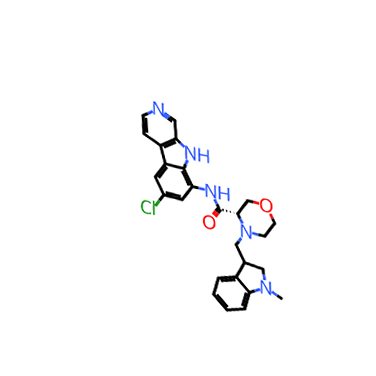 CN1CC(CN2CCOC[C@H]2C(=O)Nc2cc(Cl)cc3c2[nH]c2cnccc23)c2ccccc21